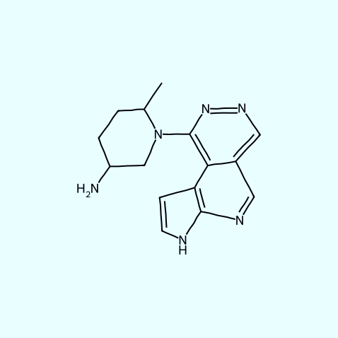 CC1CCC(N)CN1c1nncc2cnc3[nH]ccc3c12